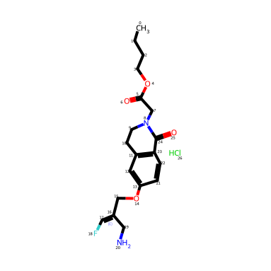 CCCCOC(=O)CN1CCc2cc(OC/C(=C/F)CN)ccc2C1=O.Cl